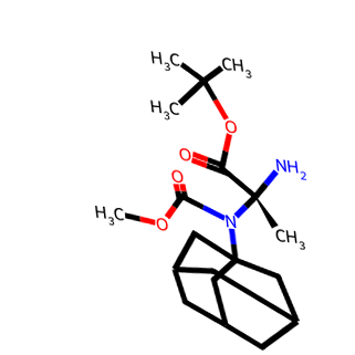 COC(=O)N(C12CC3CC(CC(C3)C1)C2)[C@@](C)(N)C(=O)OC(C)(C)C